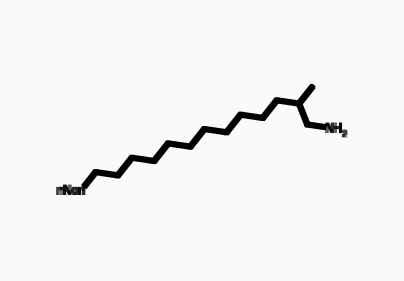 CCCCCCCCCCCCCCCCCCCCC(C)CN